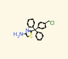 Nc1csc(C(c2ccccc2)(c2ccccc2)c2ccc(CCl)cc2)n1